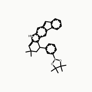 CC1(C)C=c2[nH]c3cc4c(cc3c2C(c2cccc(B3OC(C)(C)C(C)(C)O3)c2)C1)-c1ccccc1C=4